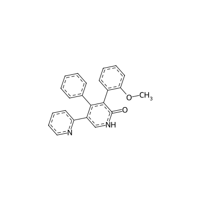 COc1ccccc1-c1c(-c2ccccc2)c(-c2ccccn2)c[nH]c1=O